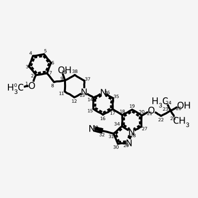 COc1ccccc1CC1(O)CCN(c2ccc(-c3cc(OCC(C)(C)O)cn4ncc(C#N)c34)cn2)CC1